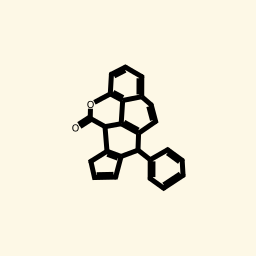 O=C1Oc2cccc3ccc4c(c23)C1C1=C(C=CC1)C4c1ccccc1